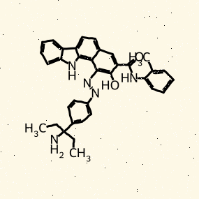 CCC(N)(CC)c1ccc(N=Nc2c(O)c(C(=O)Nc3ccccc3C)cc3ccc4c5ccccc5[nH]c4c23)cc1